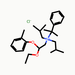 CCOC(C[N+](CC(C)C)(CC(C)C)C(C)(C)c1ccccc1)Oc1ccccc1C.[Cl-]